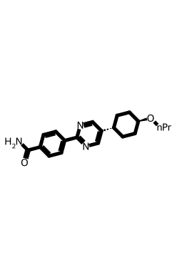 CCCO[C@H]1CC[C@H](c2cnc(-c3ccc(C(N)=O)cc3)nc2)CC1